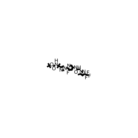 Cc1cc(C(F)(F)F)nn1CC(=O)Nc1cnc(-n2cnc(C(C)(C)NC(=O)OC(C)(C)C)c2)c(F)c1